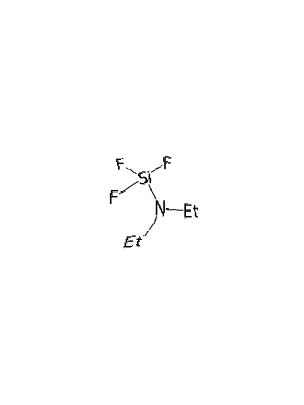 CCN(CC)[Si](F)(F)F